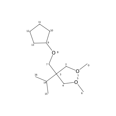 COCC(COC)(COC1CCCC1)C(C)C